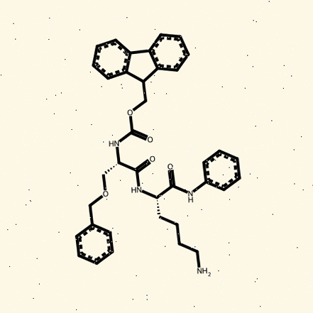 NCCCC[C@H](NC(=O)[C@H](COCc1ccccc1)NC(=O)OCC1c2ccccc2-c2ccccc21)C(=O)Nc1ccccc1